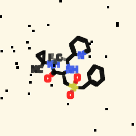 N#CC1(NC(=O)[C@H](CS(=O)(=O)Cc2ccccc2)N[C@@H](c2ccccn2)C(F)(F)F)CC1